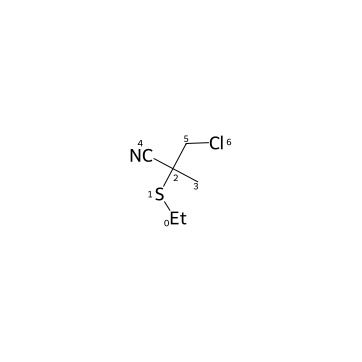 CCSC(C)(C#N)CCl